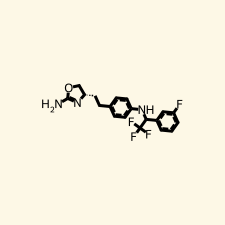 NC1=N[C@@H](CCc2ccc(NC(c3cccc(F)c3)C(F)(F)F)cc2)CO1